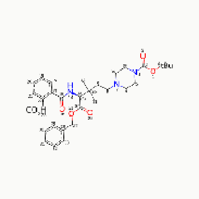 CC(C)(C)OC(=O)N1CCN(CCC(C)(C)[C@H](NC(=O)c2ccccc2C(=O)O)C(=O)OCc2ccccc2)CC1